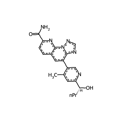 CCC[C@@H](O)c1cc(C)c(-c2cc3ccc(C(N)=O)nc3n3ncnc23)cn1